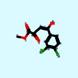 COC(=O)C(=O)/C=C(/O)c1ccc(Cl)c(Cl)c1